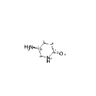 N[C@H]1CCC(=O)NC1